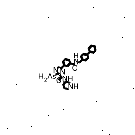 O=C(NCc1ccc(-c2ccccc2)cc1)c1cccc(-c2cnc([AsH2])c(C(=O)N[C@H]3CCCNC3)n2)c1